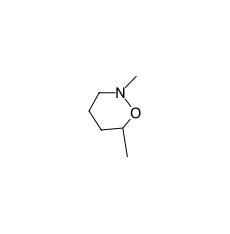 CC1CCCN(C)O1